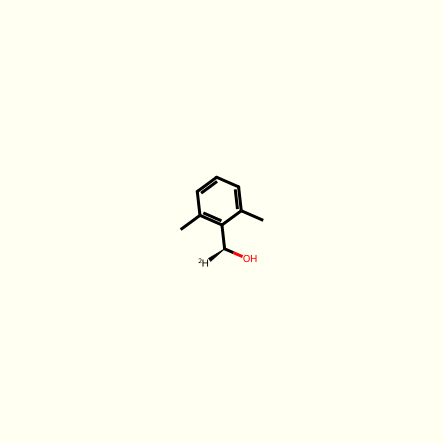 [2H][C@H](O)c1c(C)cccc1C